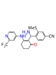 CSc1cc(C#N)ccc1C(N)C1=C(Nc2ccnc(C(F)(F)F)c2)CCCC1=O